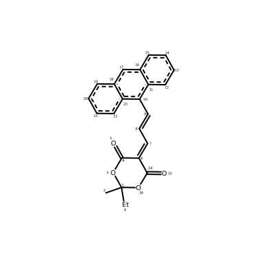 CCC1(C)OC(=O)C(=CC=Cc2c3ccccc3cc3ccccc23)C(=O)O1